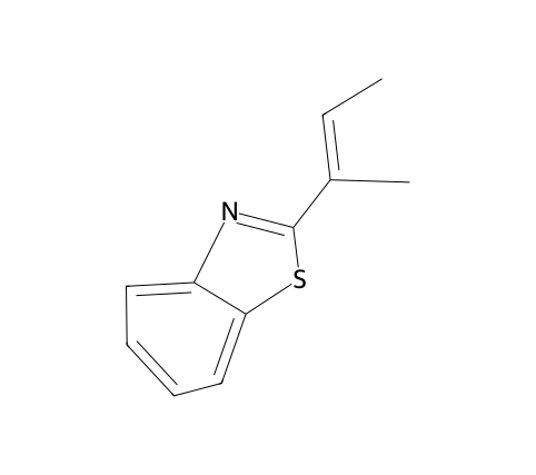 CC=C(C)c1nc2ccccc2s1